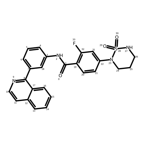 O=C(Nc1cccc(-c2nccc3ccccc23)c1)c1ccc(N2CCCNS2(=O)=O)cc1F